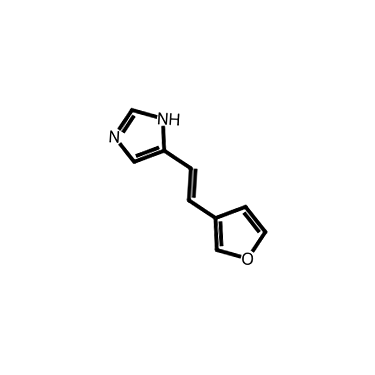 C(=Cc1cnc[nH]1)c1ccoc1